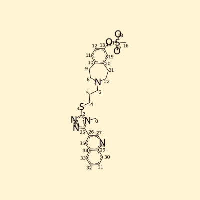 Cn1c(SCCCN2CCc3ccc(OS(C)(=O)=O)cc3CC2)nnc1-c1cnc2ccccc2c1